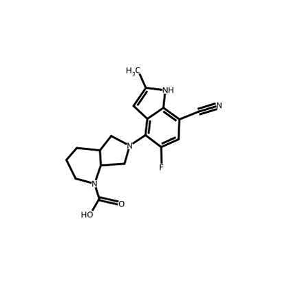 Cc1cc2c(N3CC4CCCN(C(=O)O)C4C3)c(F)cc(C#N)c2[nH]1